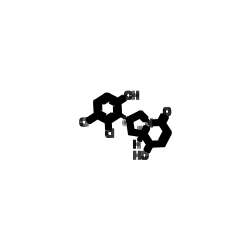 O=C1C=CC(O)[C@@H]2C[C@H](c3c(O)ccc(Cl)c3Cl)CN12